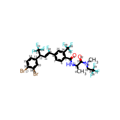 CC(NC(=O)c1ccc(/C(F)=C/C(c2ccc(Br)c(Br)c2)C(F)(F)F)cc1C(F)(F)F)C(=O)N(C)CC(F)(F)F